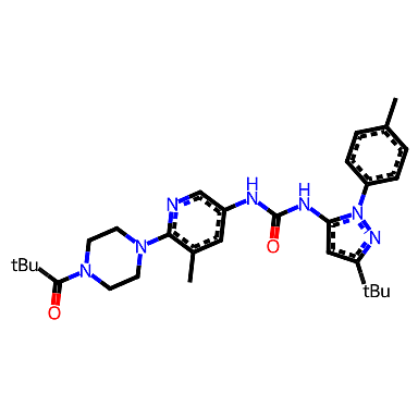 Cc1ccc(-n2nc(C(C)(C)C)cc2NC(=O)Nc2cnc(N3CCN(C(=O)C(C)(C)C)CC3)c(C)c2)cc1